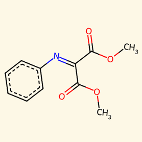 COC(=O)C(=Nc1ccccc1)C(=O)OC